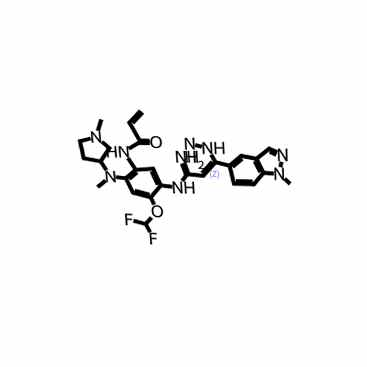 C=CC(=O)Nc1cc(NC(=N)/C=C(\NN)c2ccc3c(cnn3C)c2)c(OC(F)F)cc1N(C)C1CCN(C)C1